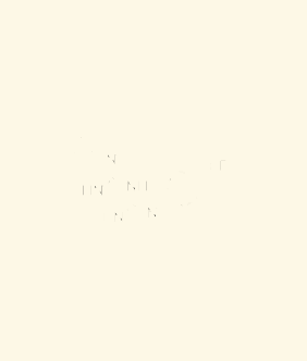 N=C(NC(=N)N(C1CC1)C1CC1)Nc1ccc(C(F)(F)F)cc1